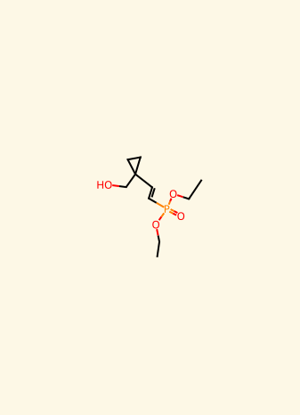 CCOP(=O)(/C=C/C1(CO)CC1)OCC